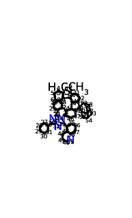 C[Si]1(C)c2ccccc2-c2c1ccc1c2-c2c(-c3ccccc3-c3nc(-c4ccccc4)nc(-c4cccc5ncccc45)n3)cccc2C12C1CC3CC(C1)CC2C3